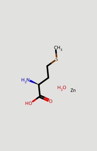 CSCC[C@H](N)C(=O)O.O.[Zn]